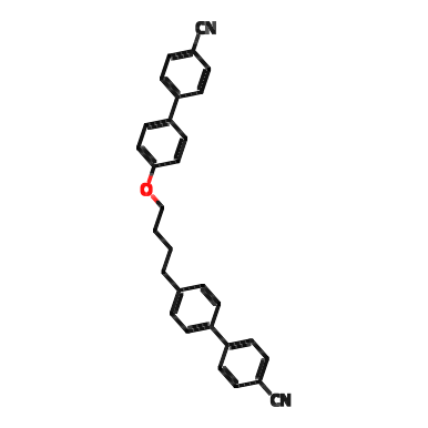 N#Cc1ccc(-c2ccc(CCCCOc3ccc(-c4ccc(C#N)cc4)cc3)cc2)cc1